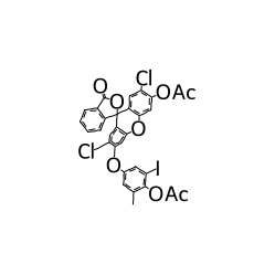 CC(=O)Oc1cc2c(cc1Cl)C1(OC(=O)c3ccccc31)c1cc(Cl)c(Oc3cc(C)c(OC(C)=O)c(I)c3)cc1O2